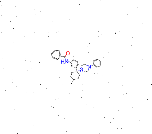 CC1CCC(c2cccc(NC(=O)c3ccccc3)c2)(N2CCN(c3ccccc3)CC2)CC1